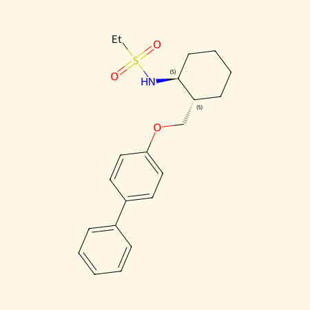 CCS(=O)(=O)N[C@H]1CCCC[C@@H]1COc1ccc(-c2ccccc2)cc1